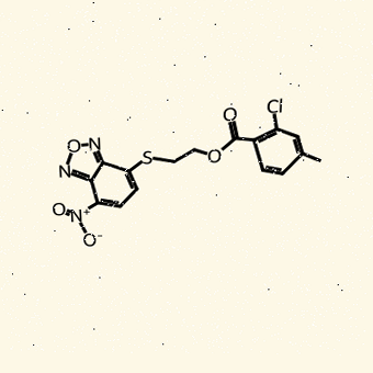 Cc1ccc(C(=O)OCCSc2ccc([N+](=O)[O-])c3nonc23)c(Cl)c1